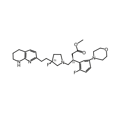 COC(=O)C[C@H](CN1CC[C@@](F)(CCc2ccc3c(n2)NCCC3)C1)c1cc(N2CCOCC2)ccc1F